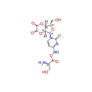 N[C@H](CO)C(=O)ONc1ccn([C@@H]2O[C@H](CO)[C@H]3OC(=O)C(=O)O[C@H]32)c(=O)n1